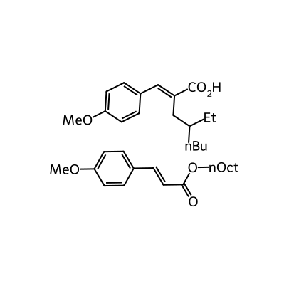 CCCCC(CC)CC(=Cc1ccc(OC)cc1)C(=O)O.CCCCCCCCOC(=O)C=Cc1ccc(OC)cc1